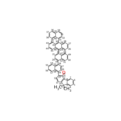 CC1(C)c2ccccc2-c2c1ccc1c2oc2cc(-c3ccc(-c4c5ccccc5c(-c5cccc6ccccc56)c5ccccc45)c4ccccc34)c3ccccc3c21